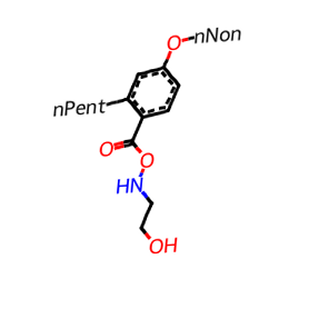 CCCCCCCCCOc1ccc(C(=O)ONCCO)c(CCCCC)c1